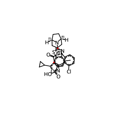 Cc1cc(C(=O)O)cc2sc(N3[C@@H]4CC[C@H]3C[C@@H](OC(=O)c3c(-c5c(Cl)cccc5Cl)noc3C3CC3)C4)nc12